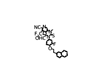 CN(C(=S)N(c1ccc(OCCc2ccc3ccccc3c2)c(F)c1)C1(C=O)CCC1)c1cnc(C#N)c(C(F)(F)F)c1